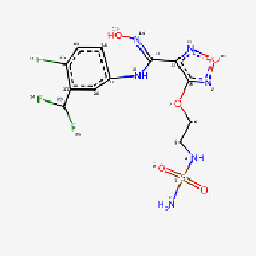 NS(=O)(=O)NCCOc1nonc1/C(=N/O)Nc1ccc(F)c(C(F)F)c1